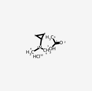 CC(=O)O.CN(C)C1CC1.Cl